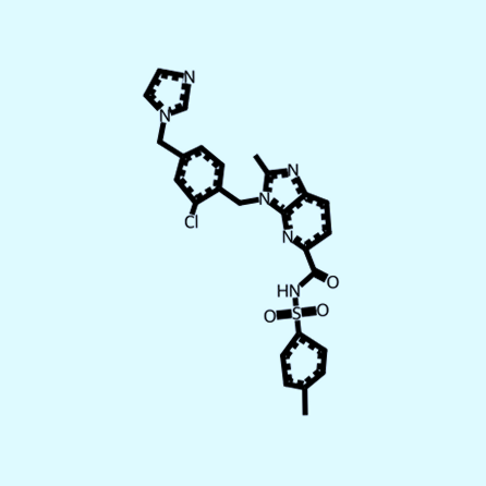 Cc1ccc(S(=O)(=O)NC(=O)c2ccc3nc(C)n(Cc4ccc(Cn5ccnc5)cc4Cl)c3n2)cc1